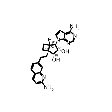 Nc1ccc2ccc(CC[C@@]34CC[C@@H]3[C@@H](n3ccc5c(N)ncnc53)[C@H](O)[C@@H]4O)cc2n1